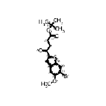 COc1cc2cc(C(=O)CCC(=O)OC(C)(C)C)sc2cc1Br